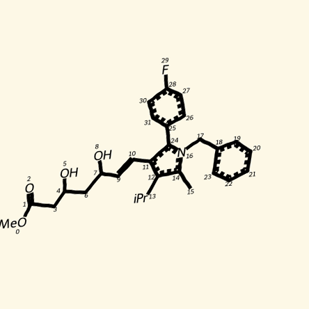 COC(=O)CC(O)CC(O)/C=C/c1c(C(C)C)c(C)n(Cc2ccccc2)c1-c1ccc(F)cc1